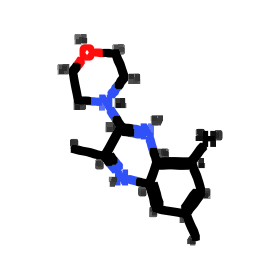 [2H]c1cc(C)cc2nc(C)c(N3CCOCC3)nc12